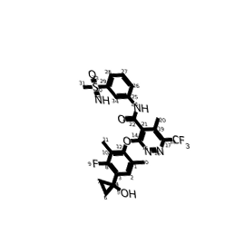 Cc1cc(C2(O)CC2)c(F)c(C)c1Oc1nnc(C(F)(F)F)c(C)c1C(=O)Nc1cccc(S(C)(=N)=O)c1